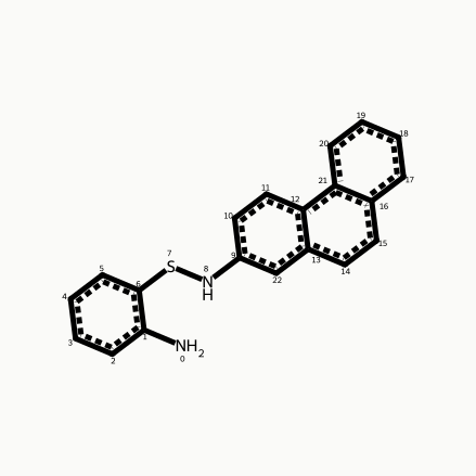 Nc1ccccc1SNc1ccc2c(ccc3ccccc32)c1